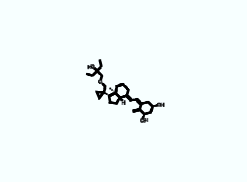 C=C1/C(=C\C=C2/CCC[C@]3(C)[C@@H](C4(COCC(O)(CC)CC)CC4)CC[C@@H]23)C[C@@H](O)C[C@H]1O